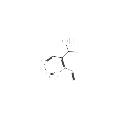 C=Cc1nnncc1C(C)O